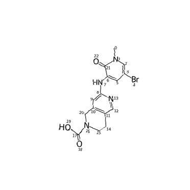 Cn1cc(Br)cc(Nc2cc3c(cn2)CCN(C(=O)O)C3)c1=O